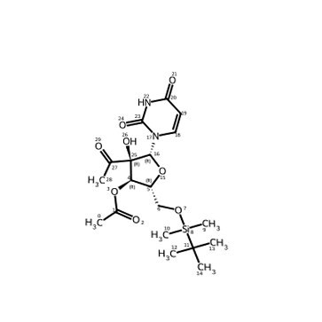 CC(=O)O[C@@H]1[C@@H](CO[Si](C)(C)C(C)(C)C)O[C@@H](n2ccc(=O)[nH]c2=O)[C@@]1(O)C(C)=O